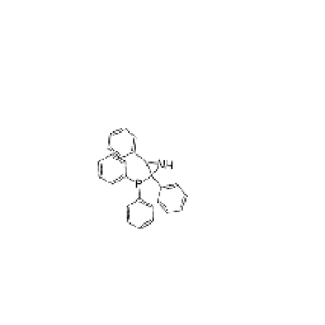 c1ccc(C2NC2(c2ccccc2)P(c2ccccc2)c2ccccc2)cc1